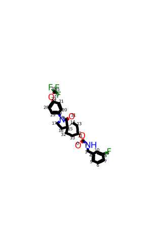 O=C(NCc1cccc(F)c1)O[C@H]1CC[C@@]2(CCN(c3ccc(OC(F)(F)F)cc3)C2=O)CC1